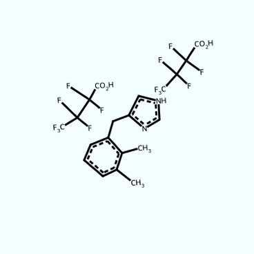 Cc1cccc(Cc2c[nH]cn2)c1C.O=C(O)C(F)(F)C(F)(F)C(F)(F)F.O=C(O)C(F)(F)C(F)(F)C(F)(F)F